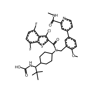 CNC(=O)c1cc(-c2ccc(OC)c(CN(C(=O)c3sc4c(F)ccc(F)c4c3Cl)C3CCC(C(NC(=O)O)C(C)(C)C)CC3)c2)ccn1